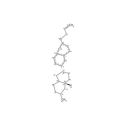 C=CCOc1ccc2cc([C@@H]3CC[C@@H]4CC(C)CCC4C3)ccc2c1